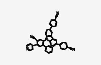 N#Cc1ccc(-c2ccc3c(c2)c2cc(-c4ccc(C#N)cc4)ccc2n3-c2cc(C#N)c(-c3ccncc3)cc2-c2ccccc2)cc1